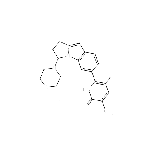 CCc1cc(C(=O)O)c(=O)[nH]c1-c1ccc2cc3n(c2c1)C(N1CCOCC1)CC3.Cl